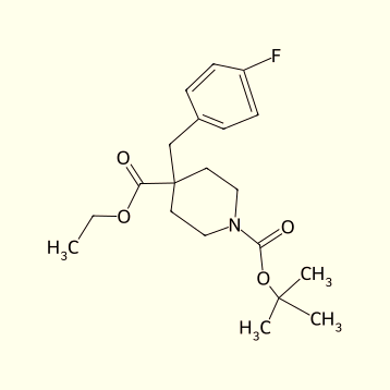 CCOC(=O)C1(Cc2ccc(F)cc2)CCN(C(=O)OC(C)(C)C)CC1